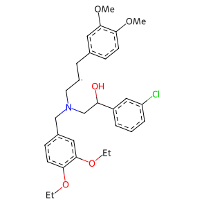 CCOc1ccc(CN(C[CH]Cc2ccc(OC)c(OC)c2)CC(O)c2cccc(Cl)c2)cc1OCC